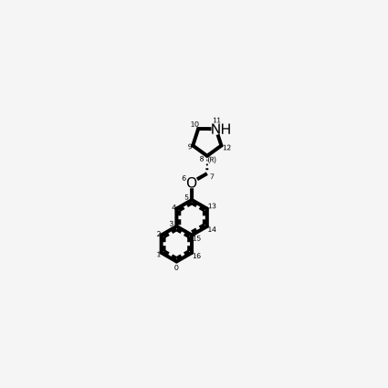 c1ccc2cc(OC[C@@H]3CCNC3)ccc2c1